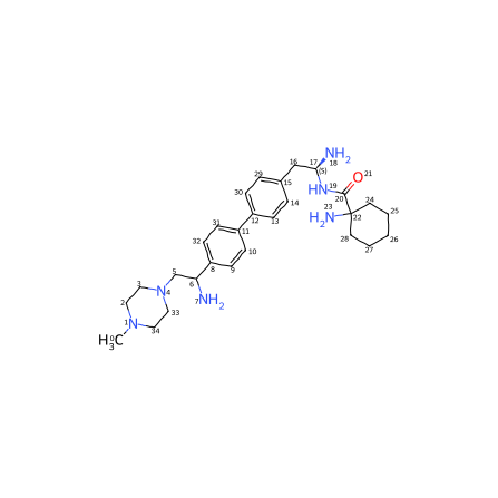 CN1CCN(CC(N)c2ccc(-c3ccc(C[C@@H](N)NC(=O)C4(N)CCCCC4)cc3)cc2)CC1